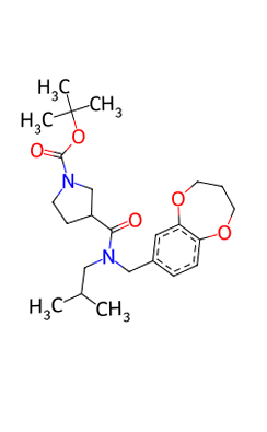 CC(C)CN(Cc1ccc2c(c1)OCCCO2)C(=O)C1CCN(C(=O)OC(C)(C)C)C1